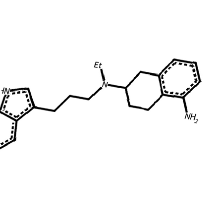 CCN(CCCc1c[nH]c2ccccc12)C1CCc2c(N)cccc2C1